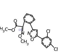 CO/N=C(\C(=O)OC)c1ccccc1-c1cc(-c2ccc(Cl)cc2Cl)on1